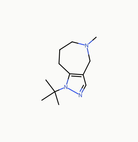 CN1CCCc2c(cnn2C(C)(C)C)C1